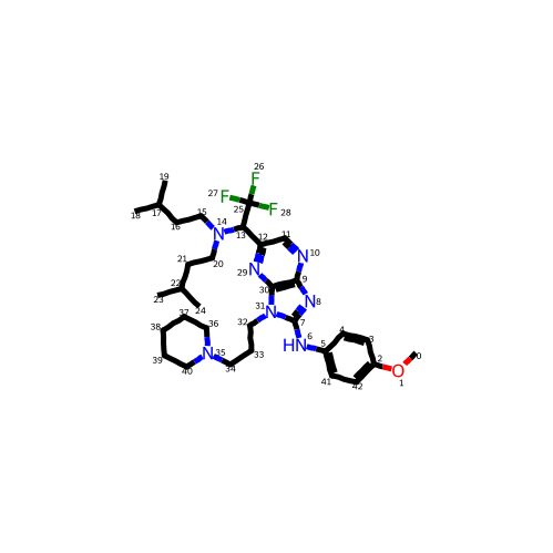 COc1ccc(Nc2nc3ncc(C(N(CCC(C)C)CCC(C)C)C(F)(F)F)nc3n2CCCN2CCCCC2)cc1